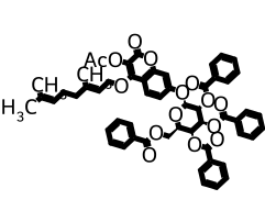 CC(=O)Oc1c(OC/C=C(\C)CCC=C(C)C)c2ccc(O[C@H]3O[C@H](COC(=O)c4ccccc4)[C@@H](OC(=O)c4ccccc4)[C@H](OC(=O)c4ccccc4)[C@@H]3OC(=O)c3ccccc3)cc2oc1=O